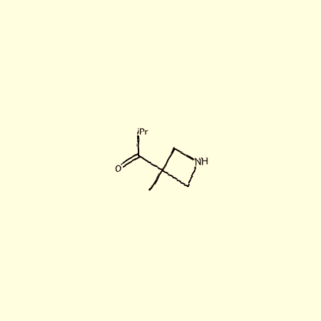 CC(C)C(=O)C1(C)CNC1